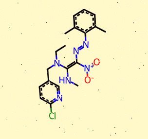 CCN(Cc1ccc(Cl)nc1)/C(NC)=C(\N=N\c1c(C)cccc1C)[N+](=O)[O-]